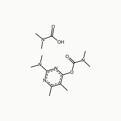 CN(C)C(=O)O.Cc1nc(N(C)C)nc(OC(=O)N(C)C)c1C